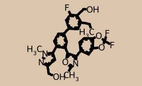 CCc1cc(-c2ccc(-c3cc(CO)nn3C)c(-c3oc(C)nc3-c3ccc4c(c3)OC(F)(F)O4)c2)cc(F)c1CO